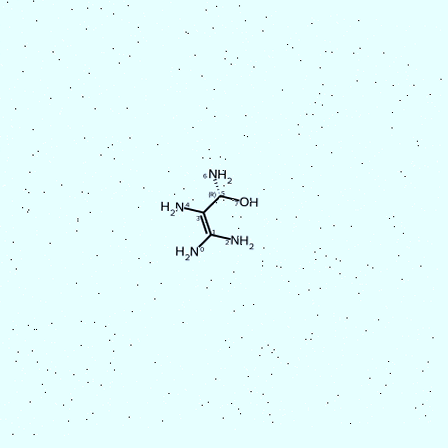 NC(N)=C(N)[C@H](N)O